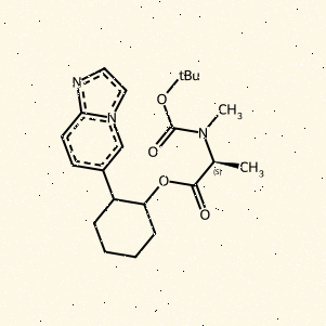 C[C@@H](C(=O)OC1CCCCC1c1ccc2nccn2c1)N(C)C(=O)OC(C)(C)C